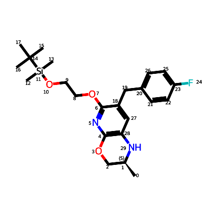 C[C@H]1COc2nc(OCCO[Si](C)(C)C(C)(C)C)c(Cc3ccc(F)cc3)cc2N1